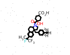 [2H]C([2H])([2H])c1ccc(CC23CCN(C(=O)[C@]4(O)CC[C@@H](C(=O)O)CC4)C2CCc2cc(C(C)(F)C(F)(F)F)ccc23)cc1